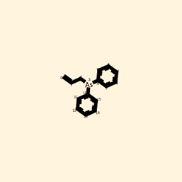 C=CC[As](c1ccccc1)c1ccccc1